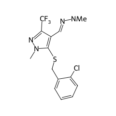 CN/N=C/c1c(C(F)(F)F)nn(C)c1SCc1ccccc1Cl